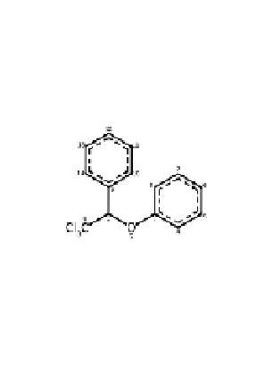 ClC(Cl)(Cl)C(Oc1ccccc1)c1ccccc1